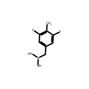 CCCN(CCC)Cc1cc(F)c(C)c(F)c1